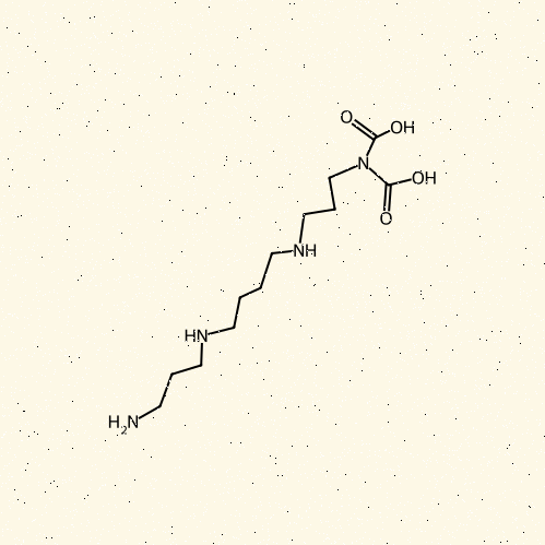 NCCCNCCCCNCCCN(C(=O)O)C(=O)O